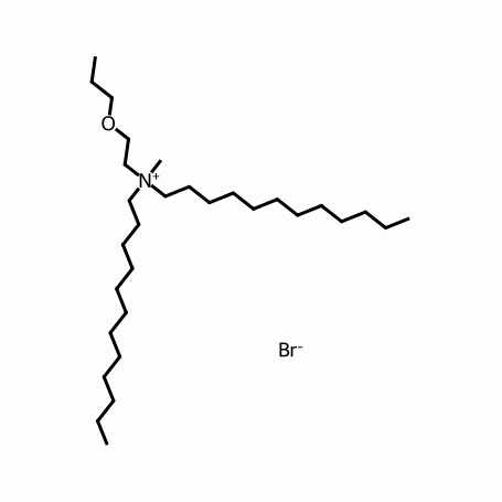 CCCCCCCCCCCC[N+](C)(CCCCCCCCCCCC)CCOCCC.[Br-]